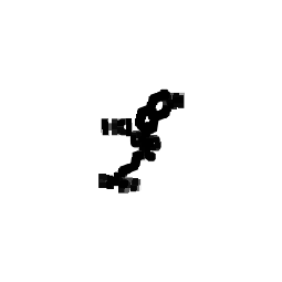 CCN(CC)CCCN(C)S(=O)(=O)c1ccc2c(c1)CNCC2.Cl